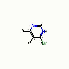 Cc1n[c]nc(Br)c1C